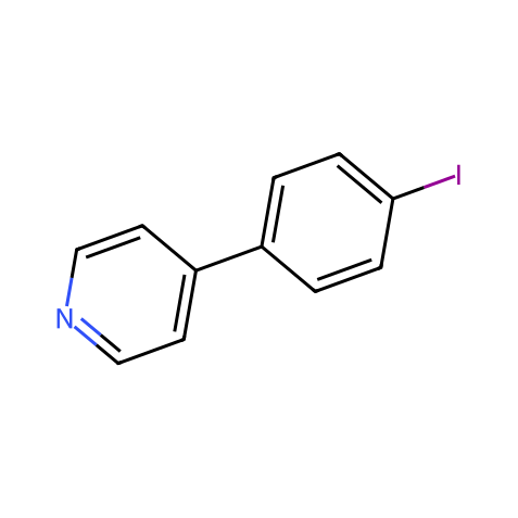 Ic1ccc(-c2ccncc2)cc1